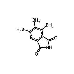 Bc1cc2c(c(B)c1B)C(=O)NC2=O